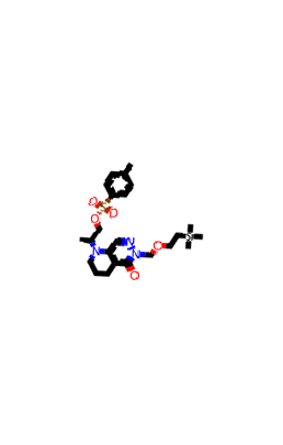 Cc1ccc(S(=O)(=O)OCC(C)N2CCCc3c2cnn(COCC[Si](C)(C)C)c3=O)cc1